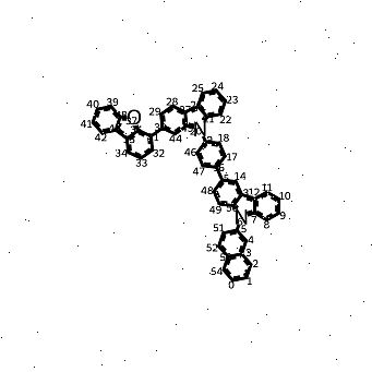 c1ccc2cc(-n3c4ccccc4c4cc(-c5ccc(-n6c7ccccc7c7ccc(-c8cccc9c8oc8ccccc89)cc76)cc5)ccc43)ccc2c1